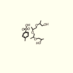 CC(O)COC(C)COC(C)COC(C)CO.Cc1ccc(S(=O)(=O)O)cc1